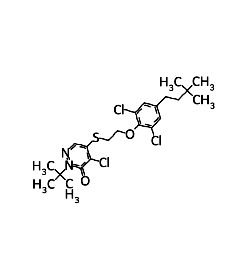 CC(C)(C)CCc1cc(Cl)c(OCCSc2cnn(C(C)(C)C)c(=O)c2Cl)c(Cl)c1